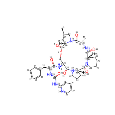 C[C@@H]1C[C@H]2C(=O)OC[C@H](NC(=O)[C@H](Cc3ccccc3)NC(=O)Nc3ccccn3)C(=O)N3CCC[C@H]3C(=O)N3CCCC[C@H]3C(=O)N[C@@H](C)C(=O)N2C1